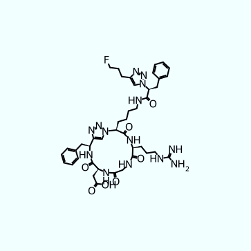 N=C(N)NCCC[C@@H]1NC(=O)[C@H](CCCCNC(=O)[C@H](Cc2ccccc2)n2cc(CCCF)nn2)n2cc(nn2)[C@H](Cc2ccccc2)NC(=O)[C@H](CC(=O)O)NC(=O)CNC1=O